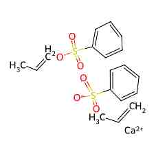 C=CC.C=CC.O=S(=O)([O-])c1ccccc1.O=S(=O)([O-])c1ccccc1.[Ca+2]